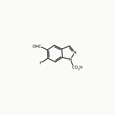 O=Cc1cc2cnn(C(=O)O)c2cc1F